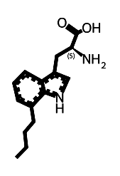 CCCCc1cccc2c(C[C@H](N)C(=O)O)c[nH]c12